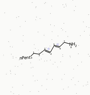 CCCCCCC/C=C/C=C/CN